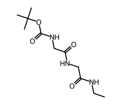 CCNC(=O)CNC(=O)CNC(=O)OC(C)(C)C